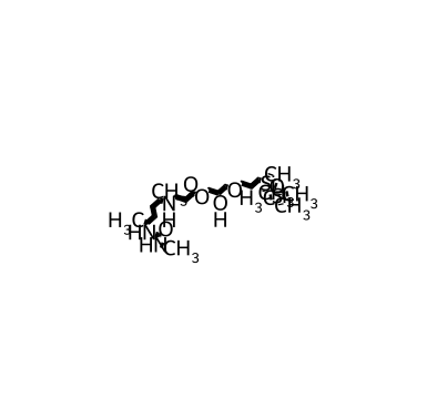 CNC(=O)NC(C)CCC(C)NCCC(=O)OCC(O)COCCC[Si](C)(C)O[Si](C)(C)C